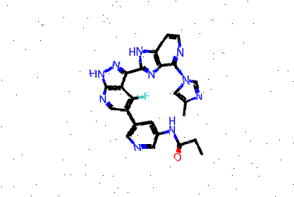 CCC(=O)Nc1cncc(-c2cnc3[nH]nc(-c4nc5c(-n6cnc(C)c6)nccc5[nH]4)c3c2F)c1